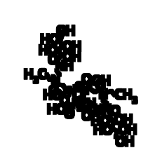 CCCN(CCNC(=O)C(O)C(O)C(O)C(O)CO)C(=O)CC(C(=O)O)N1CCN(C(CC(=O)N(CCC)CCNC(=O)C(O)C(O)C(O)C(O)CO)C(=O)O)CC(C)(N(CC(=O)O)CC(=O)O)C1